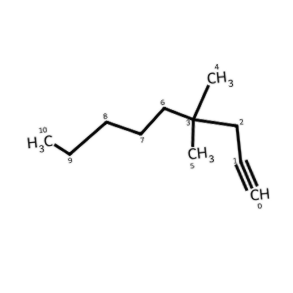 C#CCC(C)(C)CCCCC